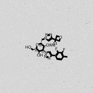 CCC1(c2cn(C[C@H]3O[C@H](CO)[C@H](O)[C@H](n4cc(-c5ccc(C)c(F)c5F)nn4)[C@H]3OC)nn2)COC1